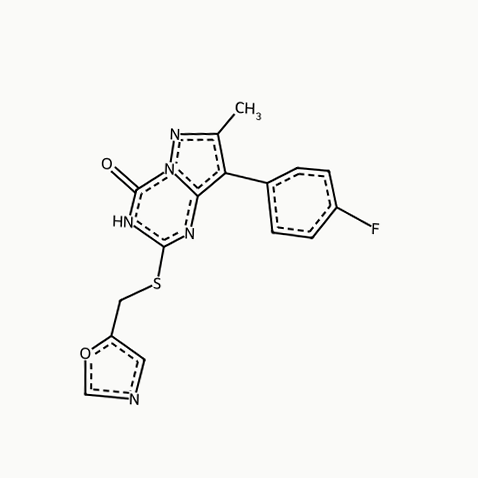 Cc1nn2c(=O)[nH]c(SCc3cnco3)nc2c1-c1ccc(F)cc1